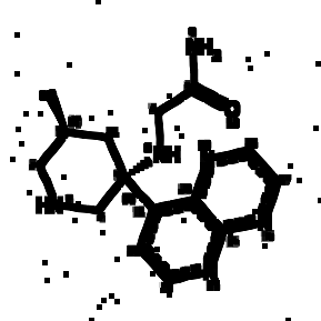 C[C@@H]1CNC[C@](NCC(N)=O)(c2ccnc3nccnc23)C1